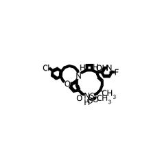 C[C@@H]1[C@@H](C)C/C=C/[C@@](O)(c2ccc(F)nc2)[C@@H]2CC[C@H]2CN2CCCCc3cc(Cl)ccc3COc3ccc(cc32)C(=O)NS1(=O)=O